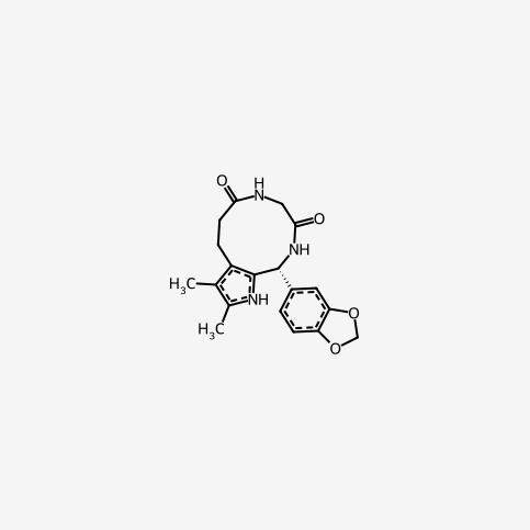 Cc1[nH]c2c(c1C)CCC(=O)NCC(=O)N[C@@H]2c1ccc2c(c1)OCO2